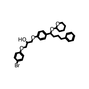 OC(COc1ccc(Br)cc1)COc1ccc(C(CCCc2ccccc2)OC2CCCCO2)cc1